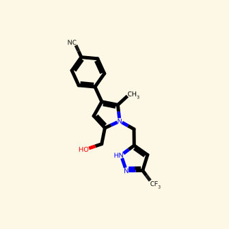 Cc1c(-c2ccc(C#N)cc2)cc(CO)n1Cc1cc(C(F)(F)F)n[nH]1